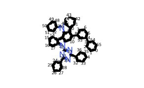 c1ccc(-c2cccc(-c3cc4c(c5ccccc5n4-c4nc(-c5ccccc5)nc(-c5ccccc5)n4)c4c3c3ccccc3n4-c3ccccc3)c2)cc1